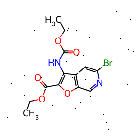 CCOC(=O)Nc1c(C(=O)OCC)oc2cnc(Br)cc12